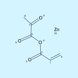 C=CC(=O)OC(=O)C(C)=O.[Zn]